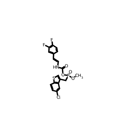 COP(=O)(Cc1csc2ccc(Cl)cc12)OC(=O)NC=Cc1ccc(F)c(F)c1